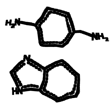 Nc1ccc(N)cc1.c1ccc2[nH]cnc2c1